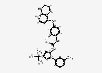 Cc1cccc(-n2nc(C(C)(C)C)cc2NC(=O)Nc2ccc(Oc3ccnc4c3N=CCN4)cc2F)c1